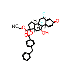 C[C@]12C=CC(=O)C=C1[C@@H](F)C[C@H]1[C@@H]3CC[C@@](OC(=O)c4ccc(Cc5ccccc5)cc4)(C(=O)OCC#N)[C@@]3(C)C[C@H](O)C12F